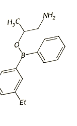 CCc1cccc(B(OC(C)CN)c2ccccc2)c1